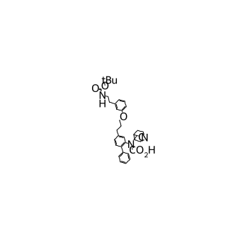 CC(C)(C)OC(=O)NCCc1cccc(OCCCc2ccc(-c3ccccc3)c(N(C(=O)O)C3CN4CCC3CC4)c2)c1